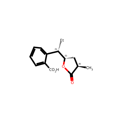 CC[C@@H](c1ccccc1C(=O)O)[C@@H]1C[C@@H](C)C(=O)O1